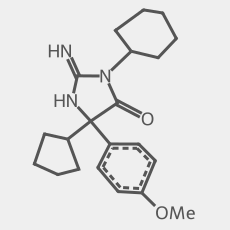 COc1ccc(C2(C3CCCC3)NC(=N)N(C3CCCCC3)C2=O)cc1